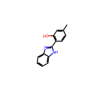 Cc1ccc(-c2nc3ccccc3[nH]2)c(O)c1